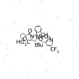 COc1ncc(C(F)(F)F)cc1CO[C@H]1[C@H](C(C)(C)C)[C@@H](C(=O)O)N(C(=O)[C@@H]2CCCO2)[C@H]1c1ccccc1C